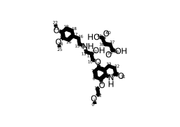 COCCOc1ccc(OCC(O)CNCCc2ccc(OC)c(OC)c2)c2c1NC(=O)CC2.O=C(O)C=CC(=O)O